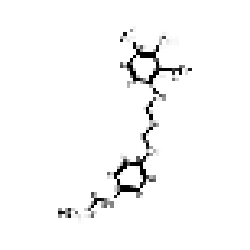 CCCc1c(OCCCOc2ccc(SCC(=O)O)cc2)ccc(C(C)=O)c1O